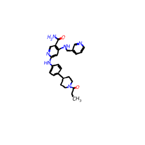 CCC(=O)N1CCC(c2ccc(Nc3cc(NCc4cccnc4)c(C(N)=O)cn3)cc2)CC1